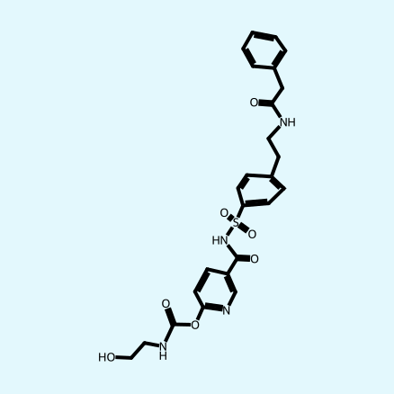 O=C(Cc1ccccc1)NCCc1ccc(S(=O)(=O)NC(=O)c2ccc(OC(=O)NCCO)nc2)cc1